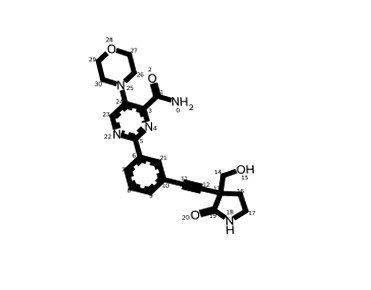 NC(=O)c1nc(-c2cccc(C#CC3(CO)CCNC3=O)c2)ncc1N1CCOCC1